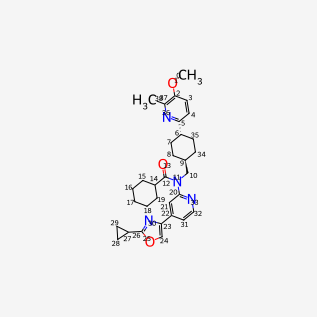 COc1ccc([C@H]2CC[C@H](CN(C(=O)C3CCCCC3)c3cc(-c4coc(C5CC5)n4)ccn3)CC2)nc1C